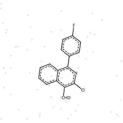 O=Cc1c(Cl)nc(-c2ccc(F)cc2)c2ccccc12